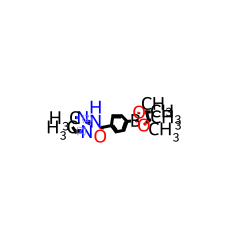 C/C=N\C(=N/C)NC(=O)c1ccc(B2OC(C)(C)C(C)(C)O2)cc1